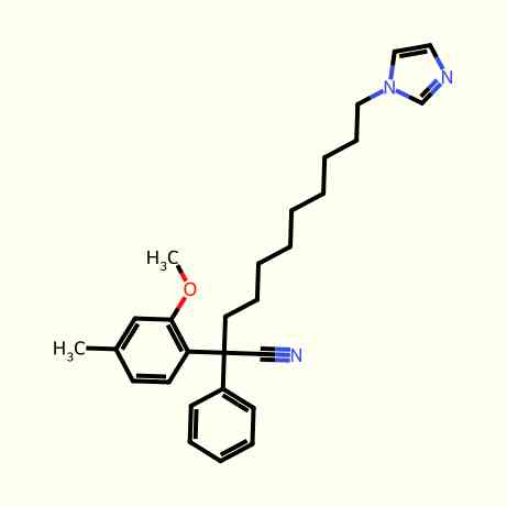 COc1cc(C)ccc1C(C#N)(CCCCCCCCCn1ccnc1)c1ccccc1